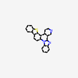 c1ccc2c(c1)nc1c3cnccc3c3c4sc5ccccc5c4ccc3n21